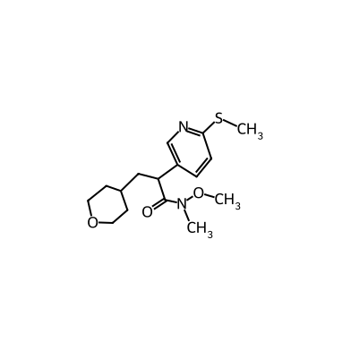 CON(C)C(=O)C(CC1CCOCC1)c1ccc(SC)nc1